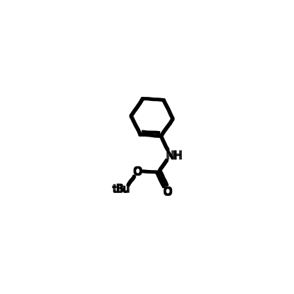 CC(C)(C)OC(=O)NC1=CCCCC1